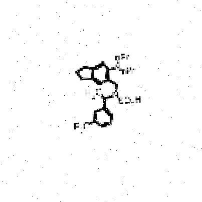 CCCN(CCC)c1cc2c(cc1CN(C(=O)O)C(C)c1cccc(C(F)(F)F)c1)CCC2